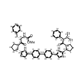 CCN(CC)[C@@H](C(=O)N1CCC[C@H]1c1ncc(-c2ccc(-c3ccc(-c4cnc([C@@H]5CCCN5C(=O)[C@H](Cc5ccncc5)NC(=O)OC)[nH]4)cc3)cc2)[nH]1)c1ccccc1